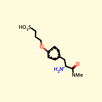 CNC(=O)[C@H](N)Cc1ccc(OCCCS(=O)(=O)O)cc1